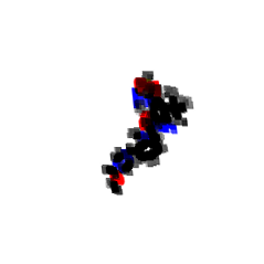 C=C(OCC)N1CCN(Cc2cccc3cc(C(=O)Nc4cc(C(C)(C)C)cc(NS(C)(=O)=O)c4OC)n(C)c23)CC1